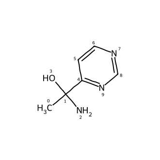 CC(N)(O)c1ccncn1